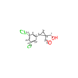 O=CC1(CO)CC1c1cc(Cl)cc(Cl)c1